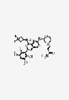 COc1cc(OC)c(Cl)c(-c2cc3cnc(NC4C[C@@H](C=CC(N)=O)CCO4)nc3c(NC3CC(F)(F)C3)n2)c1Cl